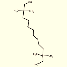 CC(C)(CO)CCSCCSCCC(C)(C)CO